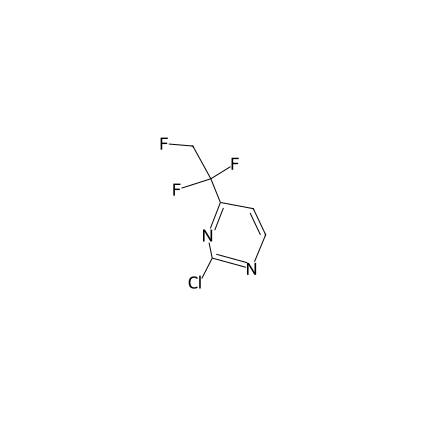 FCC(F)(F)c1ccnc(Cl)n1